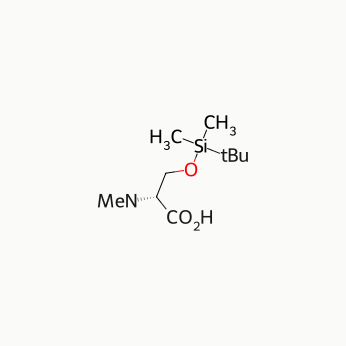 CN[C@H](CO[Si](C)(C)C(C)(C)C)C(=O)O